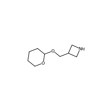 C1CCC(OCC2CNC2)OC1